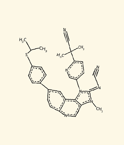 CC(C)Sc1ccc(-c2ccc3ncc4c(c3c2)n(-c2ccc(C(C)(C)C#N)nc2)/c(=N\C#N)n4C)cc1